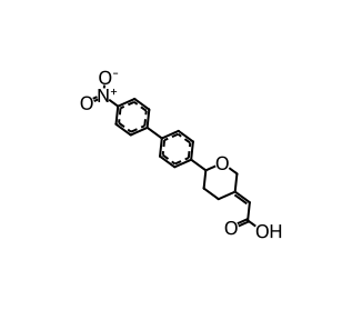 O=C(O)/C=C1\CCC(c2ccc(-c3ccc([N+](=O)[O-])cc3)cc2)OC1